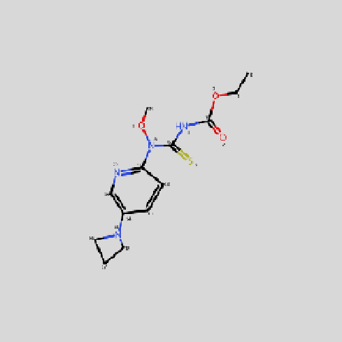 CCOC(=O)NC(=S)N(OC)c1ccc(N2CCC2)cn1